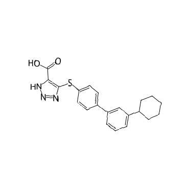 O=C(O)c1[nH]nnc1Sc1ccc(-c2cccc(C3CCCCC3)c2)cc1